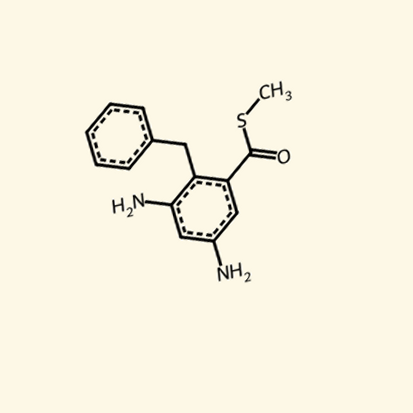 CSC(=O)c1cc(N)cc(N)c1Cc1ccccc1